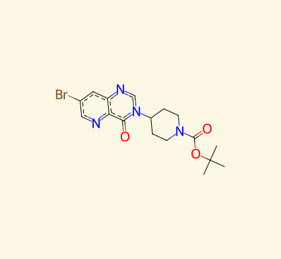 CC(C)(C)OC(=O)N1CCC(n2cnc3cc(Br)cnc3c2=O)CC1